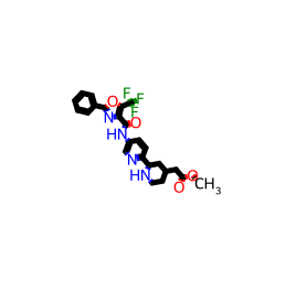 COC(=O)CC1CCNC(c2ccc(NC(=O)c3nc(-c4ccccc4)oc3C(F)(F)F)cn2)C1